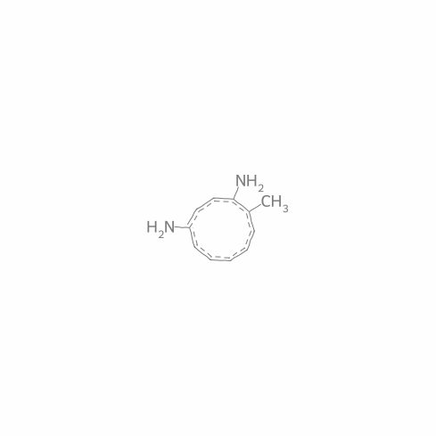 Cc1cccccc(N)ccc1N